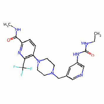 CCNC(=O)Nc1cncc(CN2CCN(c3ccc(C(=O)NC)nc3C(F)(F)F)CC2)c1